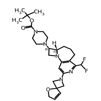 CC(C)(C)OC(=O)N1CCN([C@@H]2CN3c4cc(N5CC6(C=CCO6)C5)nc(C(F)F)c4CCC[C@@H]23)CC1